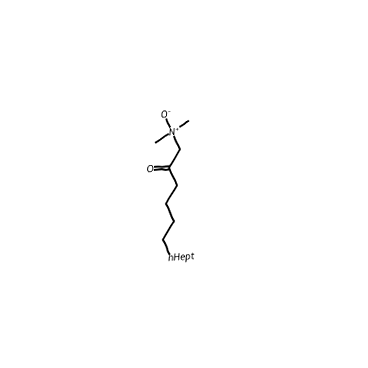 CCCCCCCCCCCC(=O)C[N+](C)(C)[O-]